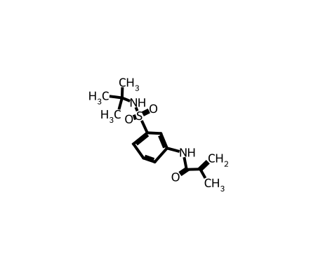 C=C(C)C(=O)Nc1cccc(S(=O)(=O)NC(C)(C)C)c1